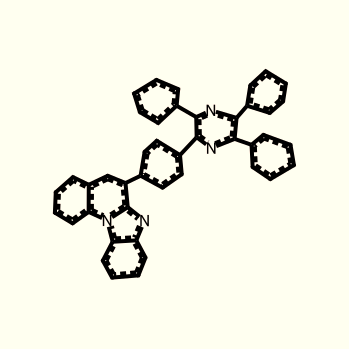 c1ccc(-c2nc(-c3ccccc3)c(-c3ccc(-c4cc5ccccc5n5c4nc4ccccc45)cc3)nc2-c2ccccc2)cc1